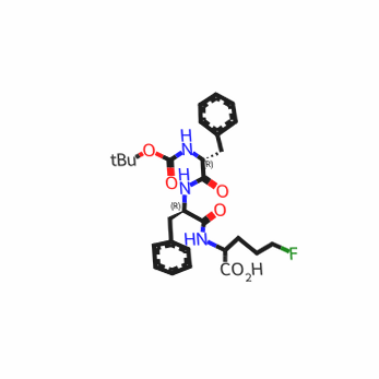 CC(C)(C)OC(=O)N[C@H](Cc1ccccc1)C(=O)N[C@H](Cc1ccccc1)C(=O)NC(CCCF)C(=O)O